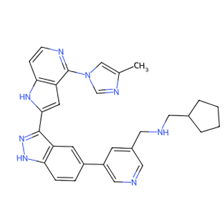 Cc1cn(-c2nccc3[nH]c(-c4n[nH]c5ccc(-c6cncc(CNCC7CCCC7)c6)cc45)cc23)cn1